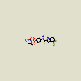 CC(C)N(C(N)=O)S(=O)(=O)c1ccc(NC(=O)c2cc3c(Cl)c(F)ccc3n2C)cc1